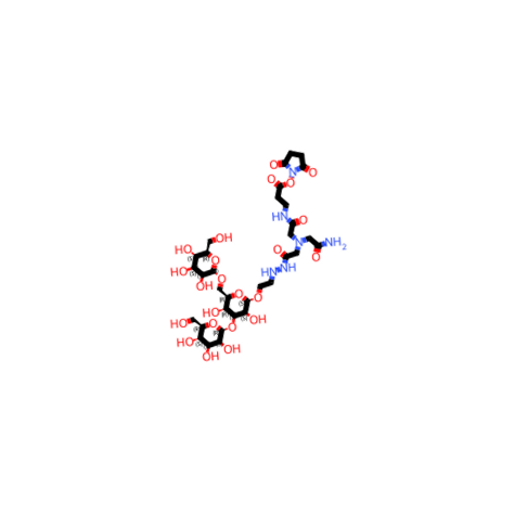 NC(=O)CN(CC(=O)NCCC(=O)ON1C(=O)CCC1=O)CC(=O)NNCCO[C@H]1O[C@H](CO[C@H]2O[C@H](CO)[C@@H](O)[C@H](O)[C@@H]2O)[C@@H](O)[C@H](O[C@H]2O[C@H](CO)[C@@H](O)[C@H](O)[C@@H]2O)[C@@H]1O